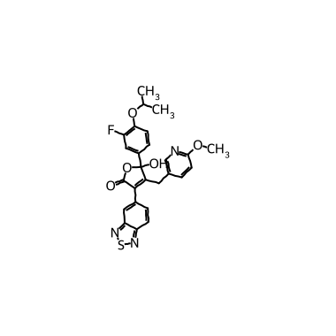 COc1ccc(CC2=C(c3ccc4nsnc4c3)C(=O)OC2(O)c2ccc(OC(C)C)c(F)c2)cn1